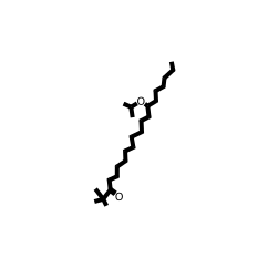 CCCCCCC(CCCCCCCCCCC(=O)C(C)(C)C)OC(C)C